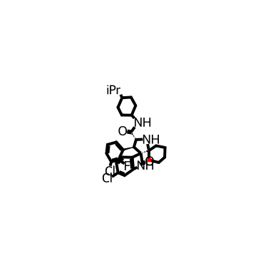 CC(C)C1CCC(NC(=O)[C@@H]2NC3(CCCCC3)[C@@]3(C(=O)Nc4cc(Cl)ccc43)[C@H]2c2cccc(Cl)c2F)CC1